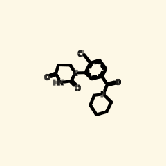 O=C1CCN(c2cc(C(=O)N3CCCCC3)ccc2Cl)C(=O)N1